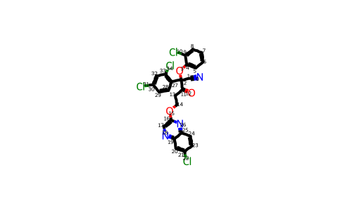 N#CC(Oc1ccccc1Cl)(C(=O)CCOc1cnc2cc(Cl)ccc2n1)c1ccc(Cl)cc1Cl